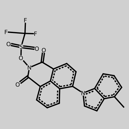 Cc1cccc2c1ccn2-c1ccc2c3c(cccc13)C(=O)N(OS(=O)(=O)C(F)(F)F)C2=O